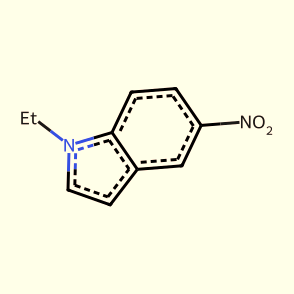 CCn1ccc2cc([N+](=O)[O-])ccc21